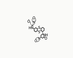 COCC[C@H](CN1CCOCC1)Nc1ccc2c(c1)Sc1cccc(-c3cc(N4CCOCC4)cc(=O)[nH]3)c1S2